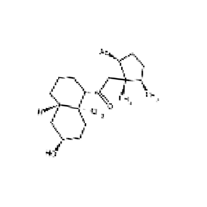 CC(=O)[C@H]1CC[C@@H](C)[C@]1(C)CC(=O)[C@H]1CCC[C@H]2C[C@H](O)CC[C@@]21C